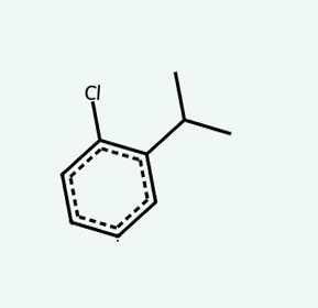 CC(C)c1c[c]ccc1Cl